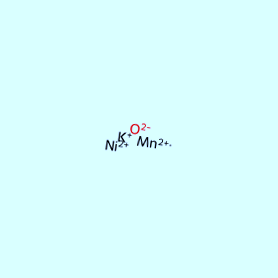 [K+].[Mn+2].[Ni+2].[O-2]